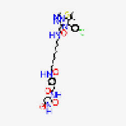 Cc1sc2c(c1C)C(c1ccc(Cl)cc1)=N[C@@H](CC(=O)NCCCCCCCCCCC(=O)Nc1ccc(CC(=O)NC3CCC(=O)NC3=O)cc1)c1nnc(C)n1-2